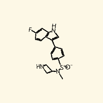 CN(C1CNC1)[S+]([O-])c1ccc(-c2c[nH]c3cc(F)ccc23)cc1